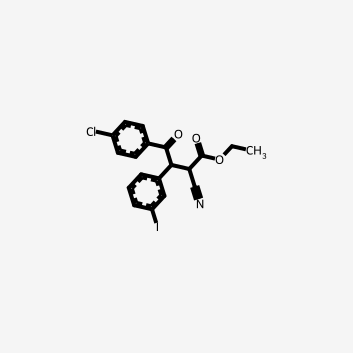 CCOC(=O)C(C#N)C(C(=O)c1ccc(Cl)cc1)c1cccc(I)c1